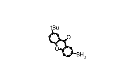 Bc1ccc2oc3ccc(C(C)(C)C)cc3c(=O)c2c1